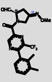 CO/N=C1/C[C@@H](C=O)N(C(=O)c2cnc(-c3cccc(C)c3C)c(C(F)(F)F)n2)C1